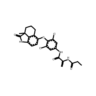 C=C(NC(=O)CC)C(=O)Nc1cc(Cl)c(Oc2ccc3c4c2CCCC4(C)C(=O)N3)c(Cl)c1